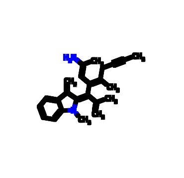 C=C(C)C(C(/C=C(\C)N)=C(\C)CC#CC)=c1c(=C)c2ccccc2n1C